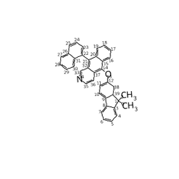 CC1(C)c2ccccc2C2=CC=C(Oc3c4ccccc4c(-c4cccc5ccccc45)c4cnccc34)CC21